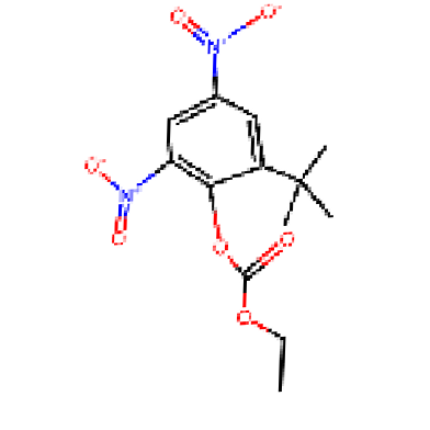 CCOC(=O)Oc1c([N+](=O)[O-])cc([N+](=O)[O-])cc1C(C)(C)C